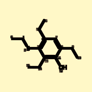 CCSc1c(CC)cc(CC)c(O)c1CC